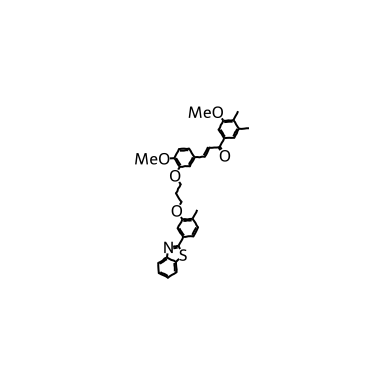 COc1ccc(/C=C/C(=O)c2cc(C)c(C)c(OC)c2)cc1OCCCOc1cc(-c2nc3ccccc3s2)ccc1C